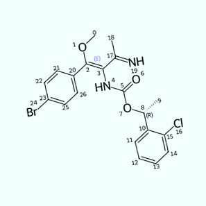 CO/C(=C(/NC(=O)O[C@H](C)c1ccccc1Cl)C(C)=N)c1ccc(Br)cc1